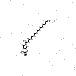 O=C(O)CCCCCCCCCCCCCCC(=O)N1CC[C@H](O[PH](=O)O)C1